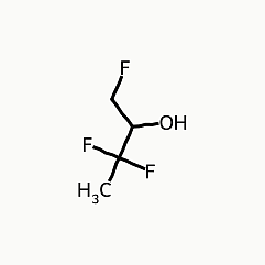 CC(F)(F)C(O)CF